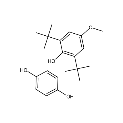 COc1cc(C(C)(C)C)c(O)c(C(C)(C)C)c1.Oc1ccc(O)cc1